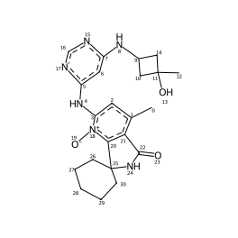 Cc1cc(Nc2cc(NC3CC(C)(O)C3)ncn2)[n+]([O-])c2c1C(=O)NC21CCCCC1